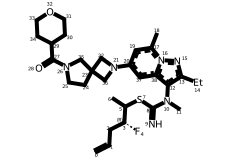 C=CC[C@@H](F)C(C)SC(=N)N(C)c1c(CC)nn2c(C)cc(N3CC4(CCN(C(=O)C5CCOCC5)C4)C3)cc12